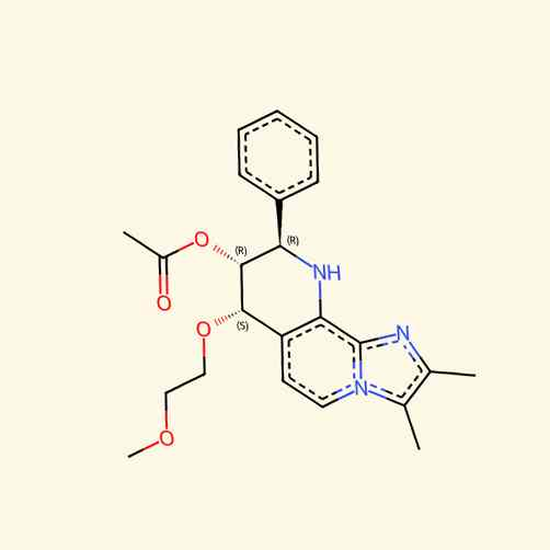 COCCO[C@H]1c2ccn3c(C)c(C)nc3c2N[C@H](c2ccccc2)[C@H]1OC(C)=O